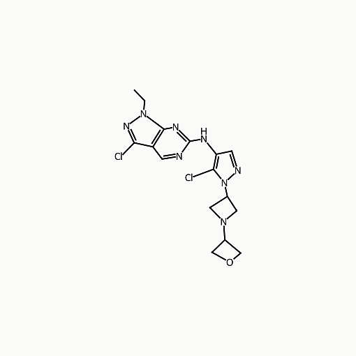 CCn1nc(Cl)c2cnc(Nc3cnn(C4CN(C5COC5)C4)c3Cl)nc21